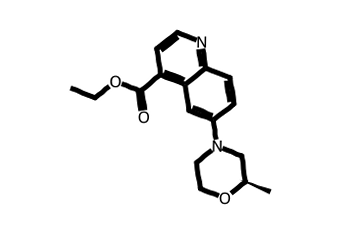 CCOC(=O)c1ccnc2ccc(N3CCO[C@H](C)C3)cc12